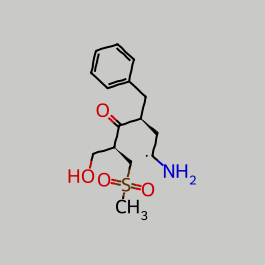 CS(=O)(=O)C[C@@H](CO)C(=O)[C@H](C[CH]N)Cc1ccccc1